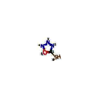 Sc1nnno1